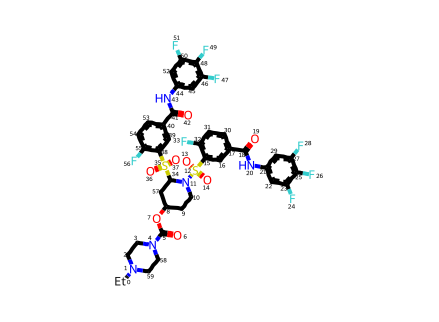 CCN1CCN(C(=O)OC2CCN(S(=O)(=O)c3cc(C(=O)Nc4cc(F)c(F)c(F)c4)ccc3F)C(S(=O)(=O)c3cc(C(=O)Nc4cc(F)c(F)c(F)c4)ccc3F)C2)CC1